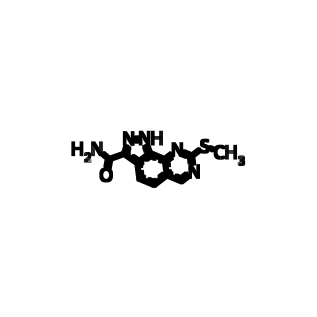 CSc1ncc2ccc3c(C(N)=O)n[nH]c3c2n1